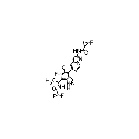 CC(NC(=O)C(F)F)c1c(F)c(Cl)c(-c2ccn3nc(NC(=O)C4CC4F)cc3c2)c2cn[nH]c12